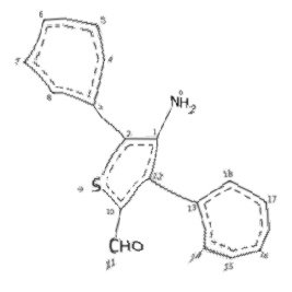 Nc1c(-c2ccccc2)sc(C=O)c1-c1ccccc1